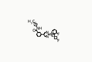 CN1CC(NC(=O)c2cccc(-c3cnc(NC[C@]4(c5ncccc5F)C[C@H](F)C4)nc3)c2)C1